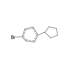 Brc1ccc([C]2CCCC2)cc1